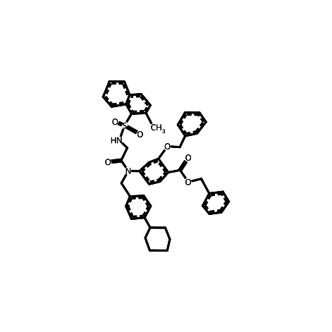 Cc1ccc2ccccc2c1S(=O)(=O)NCC(=O)N(Cc1ccc(C2CCCCC2)cc1)c1ccc(C(=O)OCc2ccccc2)c(OCc2ccccc2)c1